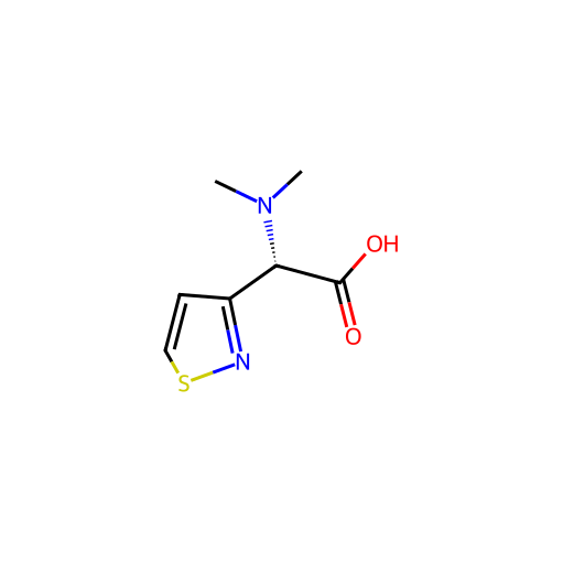 CN(C)[C@H](C(=O)O)c1ccsn1